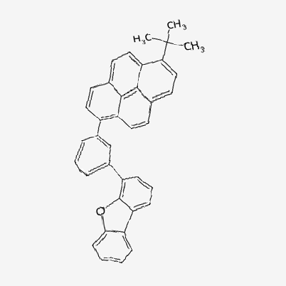 CC(C)(C)c1ccc2ccc3c(-c4cccc(-c5cccc6c5oc5ccccc56)c4)ccc4ccc1c2c43